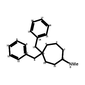 CNC1CCCC(Cc2ccccc2)(Cc2ccccc2)CC1